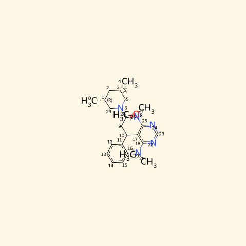 C[C@@H]1C[C@H](C)CN(C(=O)CC(c2ccccc2)c2c(N(C)C)ncnc2N(C)C)C1